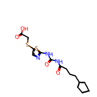 O=C(O)CSc1cnc(NC(=O)NC(=O)CCCC2CCCC2)s1